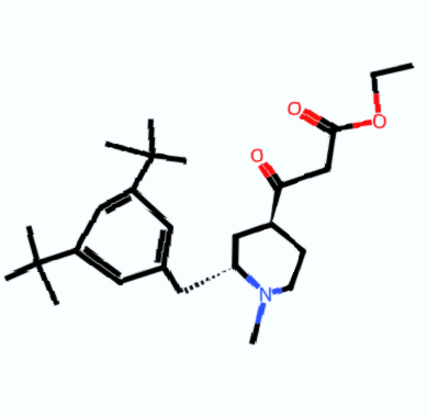 CCOC(=O)CC(=O)[C@H]1CCN(C)[C@H](Cc2cc(C(C)(C)C)cc(C(C)(C)C)c2)C1